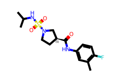 Cc1cc(NC(=O)[C@H]2CCN(S(=O)(=O)NC(C)C)C2)ccc1F